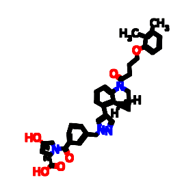 Cc1cccc(OCCCC(=O)N2C[C@@H]3C[C@@H]3c3c(-c4cnn(Cc5cccc(C(=O)N6C[C@H](O)C[C@H]6C(=O)O)c5)c4)cccc32)c1C